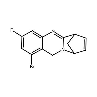 Fc1cc(Br)c2c(c1)N=C1C3C=CC(C3)N1C2